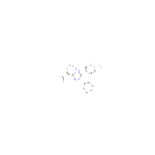 O=C(O)c1cc(Cl)cn2c(-c3ccc(Cl)cc3)c(-c3ccc(I)cc3)nc12